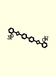 C[Si](C)(C)Oc1ccccc1C1CC(c2ccc(-c3ccc(C4CC(c5ccccc5O[Si](C)(C)C)C4)cc3)cc2)C1